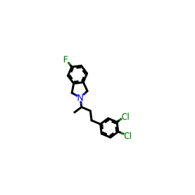 CC(CCc1ccc(Cl)c(Cl)c1)N1Cc2ccc(F)cc2C1